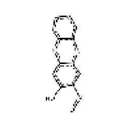 O=Nc1cc2nc3ccccc3nc2cc1O